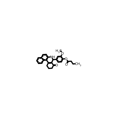 CCCC(=O)Oc1ccc(C2Nc3ccc4ccccc4c3C3=C2C(=O)CCC3)cc1OC